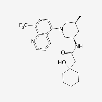 C[C@H]1C[C@@H](NC(=O)CC2(O)CCCCC2)CN(c2ccc(C(F)(F)F)c3ncccc23)C1